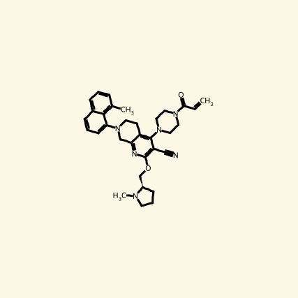 C=CC(=O)N1CCN(c2c(C#N)c(OC[C@H]3CCCN3C)nc3c2CCN(c2cccc4cccc(C)c24)C3)CC1